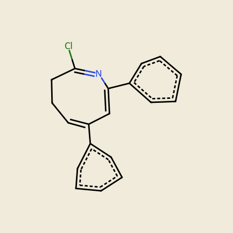 Cl/C1=N/C(c2ccccc2)=C\C(c2ccccc2)=C/CC1